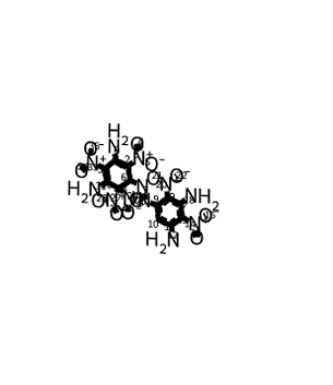 NC1=C([N+](=O)[O-])C(N=Nc2cc(N)c([N+](=O)[O-])c(N)c2[N+](=O)[O-])C([N+](=O)[O-])([N+](=O)[O-])C(N)=C1[N+](=O)[O-]